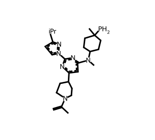 C=C(C)N1CCC(c2cc(N(C)C3CCC(C)(P)CC3)nc(-n3ccc(C(C)C)n3)n2)CC1